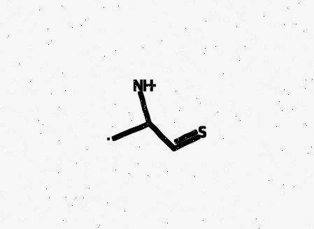 [CH2]C([NH])C=S